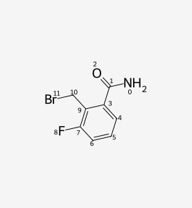 NC(=O)c1cccc(F)c1CBr